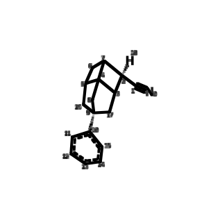 N#C[C@H]1C2CC3CC1C[C@](c1ccccc1)(C3)C2